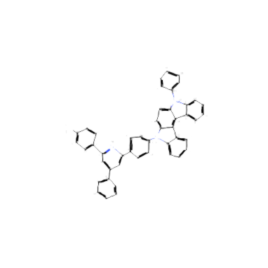 Cc1ccc(-c2cc(-c3ccccc3)cc(-c3ccc(-n4c5ccccc5c5c6c7ccccc7n(-c7ccccc7)c6ccc54)cc3)n2)cc1